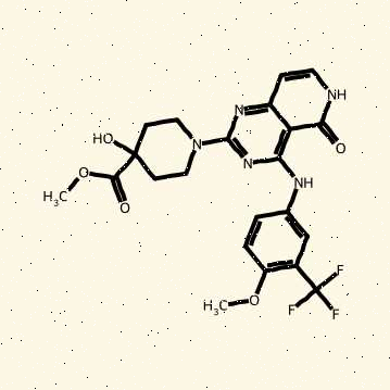 COC(=O)C1(O)CCN(c2nc(Nc3ccc(OC)c(C(F)(F)F)c3)c3c(=O)[nH]ccc3n2)CC1